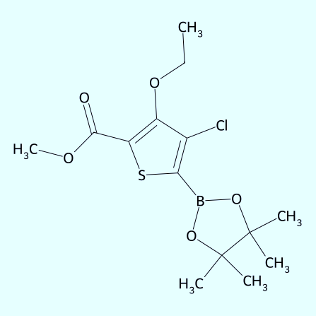 CCOc1c(C(=O)OC)sc(B2OC(C)(C)C(C)(C)O2)c1Cl